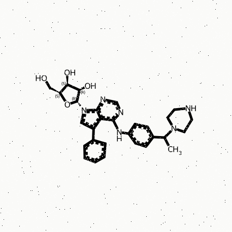 CC(c1ccc(Nc2ncnc3c2c(-c2ccccc2)cn3[C@@H]2O[C@@H](CO)[C@@H](O)[C@H]2O)cc1)N1CCNCC1